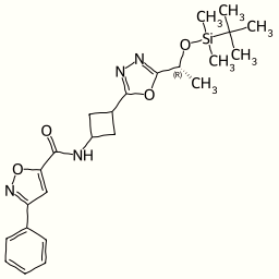 C[C@@H](O[Si](C)(C)C(C)(C)C)c1nnc(C2CC(NC(=O)c3cc(-c4ccccc4)no3)C2)o1